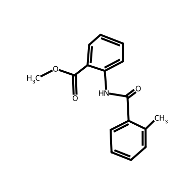 COC(=O)c1ccccc1NC(=O)c1ccccc1C